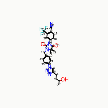 CC(O)CCc1cn(-c2ccc(CN3C(=O)N(c4ccc(C#N)c(C(F)(F)F)c4)C(=O)C3(C)C)cc2)nn1